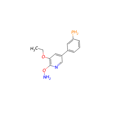 CCOc1cc(-c2cccc(P)c2)cnc1ON